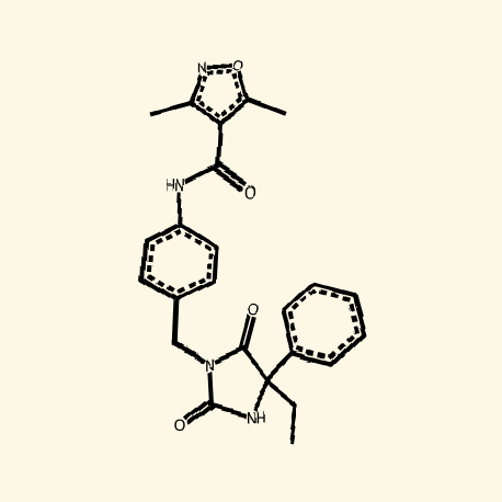 CCC1(c2ccccc2)NC(=O)N(Cc2ccc(NC(=O)c3c(C)noc3C)cc2)C1=O